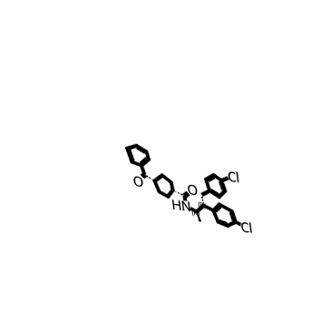 C[C@@H](NC(=O)[C@H]1CC[C@@H](C(=O)c2ccccc2)CC1)[C@H](Cc1ccc(Cl)cc1)c1ccc(Cl)cc1